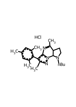 CCCCN1CCC2C(C)=Nc3c(-c4c(C)cc(C)cc4C)c(C)nn3C21.Cl